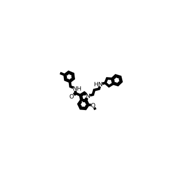 COc1cccc2c(C(=O)NCc3cccc(C)c3)cn(CCCNC3Cc4ccccc4C3)c12